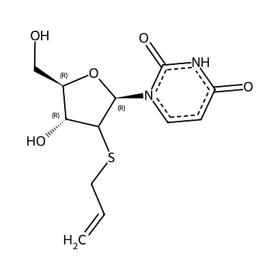 C=CCSC1[C@H](n2ccc(=O)[nH]c2=O)O[C@H](CO)[C@H]1O